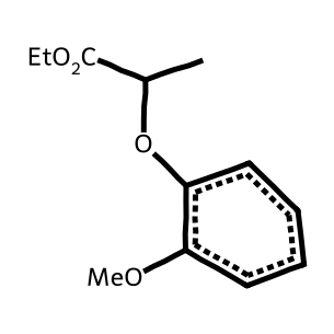 CCOC(=O)C(C)Oc1ccccc1OC